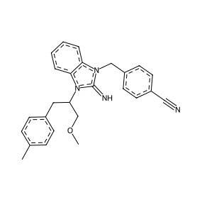 COCC(Cc1ccc(C)cc1)n1c(=N)n(Cc2ccc(C#N)cc2)c2ccccc21